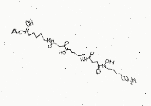 CC(=O)N(O)CCCCCNC(=O)CCC(=O)N(O)CCCCCNC(=O)CCC(=O)N(O)CCCCC(=O)O